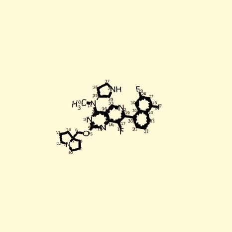 CN(c1nc(OCC23CCCN2CCC3)nc2c(F)c(-c3cccc4c(F)cc(F)cc34)ncc12)[C@@H]1CCNC1